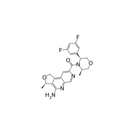 C[C@@H]1COC[C@H](c2cc(F)cc(F)c2)N1C(=O)c1cc2c3c(c(N)nc2cn1)[C@@H](C)OC3